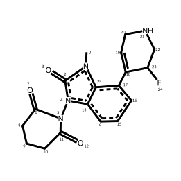 Cn1c(=O)n(N2C(=O)CCCC2=O)c2cccc(C3=CCNCC3F)c21